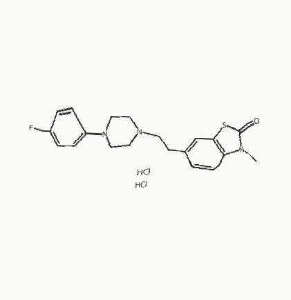 Cl.Cl.Cn1c(=O)sc2cc(CCN3CCN(c4ccc(F)cc4)CC3)ccc21